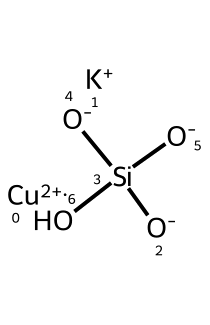 [Cu+2].[K+].[O-][Si]([O-])([O-])O